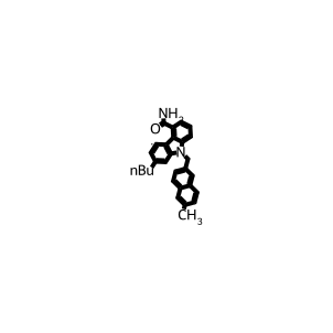 CCCCc1c[c]c2c3c(C(N)=O)cccc3n(Cc3ccc4cc(C)ccc4c3)c2c1